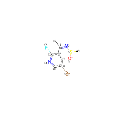 C/C(=N/[S@@+](C)[O-])c1cc(Br)cnc1F